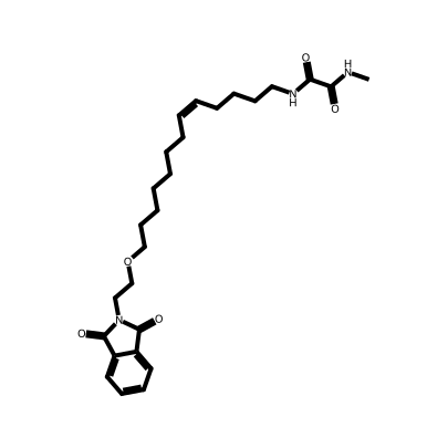 CNC(=O)C(=O)NCCCC/C=C\CCCCCCCOCCN1C(=O)c2ccccc2C1=O